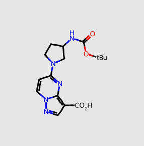 CC(C)(C)OC(=O)NC1CCN(c2ccn3ncc(C(=O)O)c3n2)C1